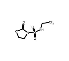 O=C1OCCN1S(=O)(=O)NCC(F)(F)F